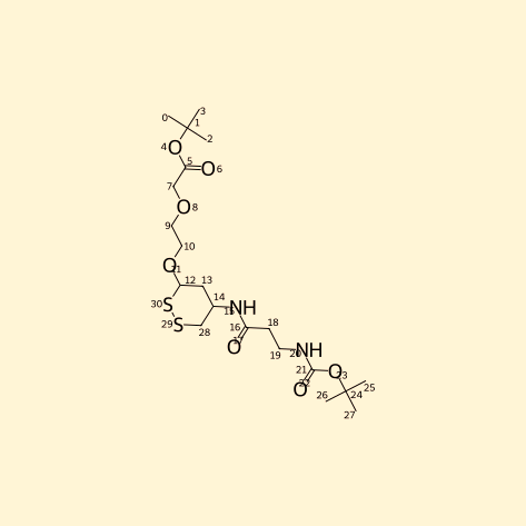 CC(C)(C)OC(=O)COCCOC1CC(NC(=O)CCNC(=O)OC(C)(C)C)CSS1